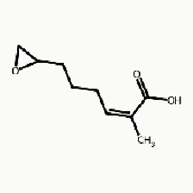 CC(=CCCCC1CO1)C(=O)O